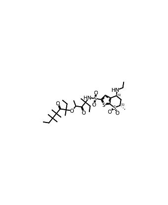 CCN[C@H]1C[C@H](C)S(=O)(=O)c2sc(S(=O)(=O)NC(C)(CC)C(=O)C(C)OC(C)(CC)C(=O)C(C)(C)C(C)(C)CC)cc21